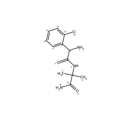 CC(C)(NC(=O)C(N)c1ccccc1Cl)C(N)=O